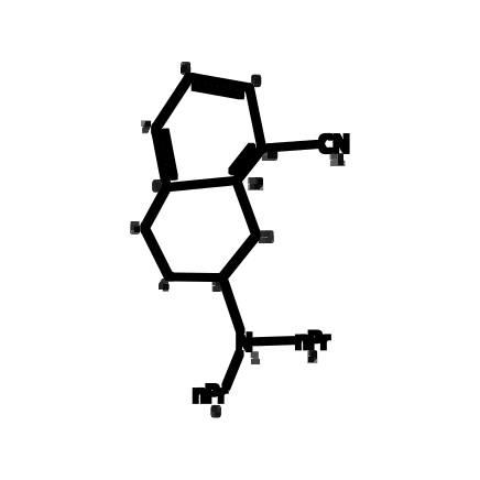 CCCN(CCC)C1CCc2cccc(C#N)c2C1